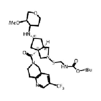 COC1COCCC1N[C@@H]1C[C@H]2CN(SCNC(=O)OC(C)(C)C)C[C@@]2(C(=O)N2CCc3ncc(C(F)(F)F)cc3C2)C1